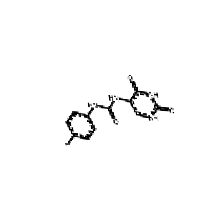 O=C(Nc1ccc(F)cc1)Nc1c[nH]c(=O)[nH]c1=O